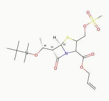 C=CCOC(=O)C1C(COS(C)(=O)=O)S[C@@H]2[C@@H]([C@@H](C)O[Si](C)(C)C(C)(C)C)C(=O)N12